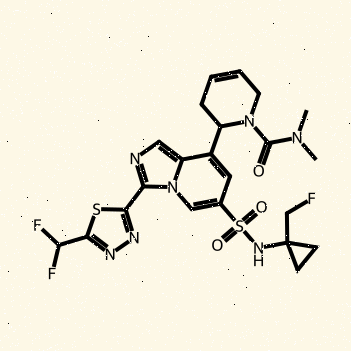 CN(C)C(=O)N1CC=CCC1c1cc(S(=O)(=O)NC2(CF)CC2)cn2c(-c3nnc(C(F)F)s3)ncc12